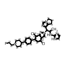 C=C(Nc1ncc[nH]1)C(c1ncn2c1CCC2)n1cc2c(Cl)cc(-c3ccc(C4CCN(CCF)CC4)cc3)c(Cl)c2n1